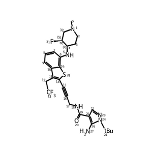 CN1CC[C@@H](Nc2cccc3c(CC(F)(F)F)c(C#CCNC(=O)c4cnn(C(C)(C)C)c4N)sc23)[C@@H](F)C1